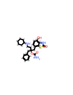 NC(=O)OC(CCNC1CCCCC1)(Cc1ccccc1)Cc1ccc(O)c2[nH]c(=O)sc12